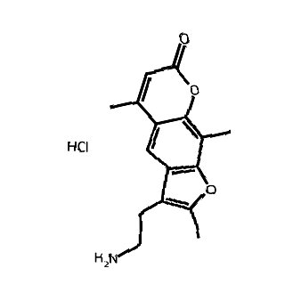 Cc1oc2c(C)c3oc(=O)cc(C)c3cc2c1CCN.Cl